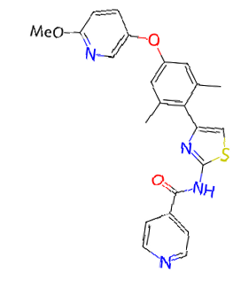 COc1ccc(Oc2cc(C)c(-c3csc(NC(=O)c4ccncc4)n3)c(C)c2)cn1